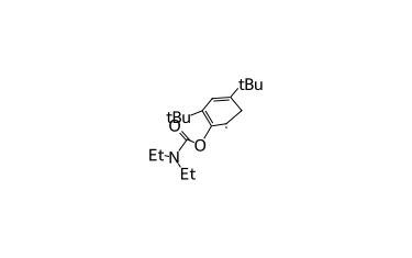 CCN(CC)C(=O)OC1=C(C(C)(C)C)C=C(C(C)(C)C)C[CH]1